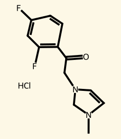 CN1C=CN(CC(=O)c2ccc(F)cc2F)C1.Cl